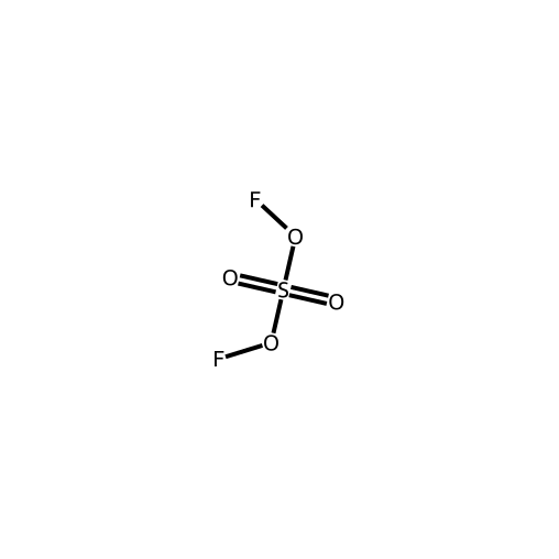 O=S(=O)(OF)OF